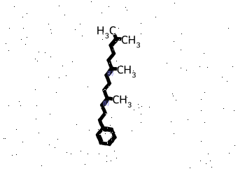 CC(C)=CCC/C(C)=C/CC/C(C)=C/CCc1ccccc1